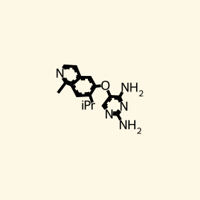 Cc1nccc2cc(Oc3cnc(N)nc3N)c(C(C)C)cc12